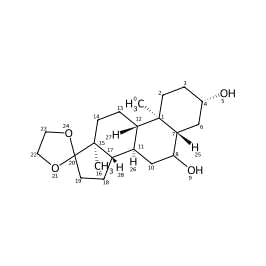 C[C@]12CC[C@H](O)C[C@@H]1C(O)C[C@@H]1[C@@H]2CC[C@@]2(C)[C@H]1CCC21OCCO1